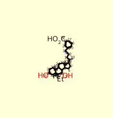 CC[C@H]1[C@@H](O)C2C3CCC([C@H](C)C/C=C/c4cccc(C(=O)O)c4)[C@@]3(C)CCC2[C@@]2(C)CC[C@@H](O)C[C@@H]12